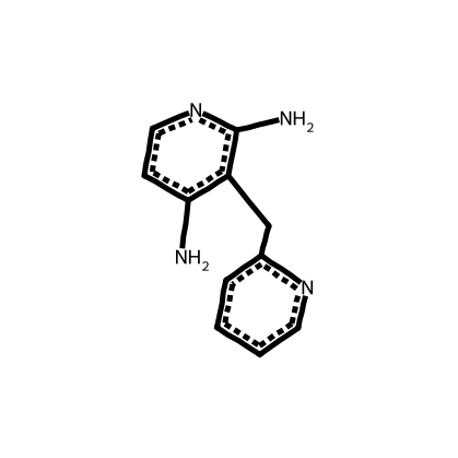 Nc1ccnc(N)c1Cc1ccccn1